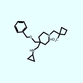 O=C(O)C1(CN2CCC(CNC3CC3)(COCc3ccccc3)CC2)CCC1